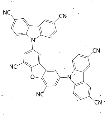 N#Cc1ccc2c(c1)c1cc(C#N)ccc1n2-c1cc(C#N)c2oc3c(C#N)cc(-n4c5ccc(C#N)cc5c5cc(C#N)ccc54)cc3c2c1